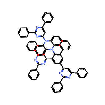 c1ccc(-c2cc(-c3cc(-c4ccccc4)c(N4c5ccccc5N(c5cc(-c6ccccc6)nc(-c6ccccc6)n5)c5ccccc54)c(-c4cc(-c5ccccc5)nc(-c5ccccc5)n4)c3)nc(-c3ccccc3)n2)cc1